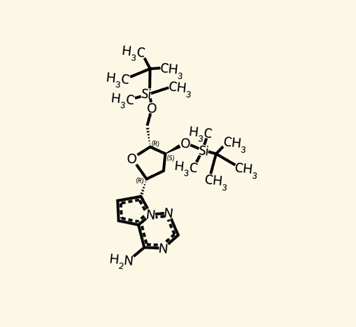 CC(C)(C)[Si](C)(C)OC[C@H]1O[C@@H](c2ccc3c(N)ncnn23)C[C@@H]1O[Si](C)(C)C(C)(C)C